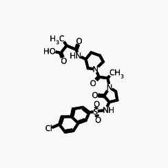 CC(C(=O)O)C(=O)NC1CCCN(C(=O)C(C)N2CCC(NS(=O)(=O)c3ccc4cc(Cl)ccc4c3)C2=O)C1